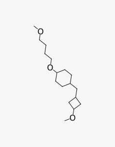 COCCCCOC1CCC(CC2CC(OC)C2)CC1